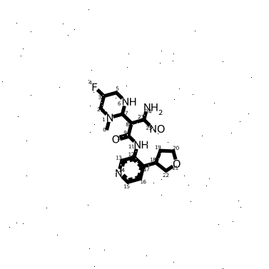 CN1CC(F)CNC1C(C(=O)Nc1cnccc1C1CCOC1)C(N)N=O